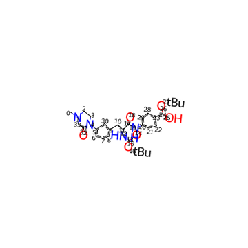 CN1CCN(c2cccc(C[C@H](NC(=O)OC(C)(C)C)C(=O)Nc3ccc(C(O)OC(C)(C)C)cc3)c2)C(=O)C1